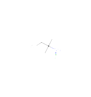 CC(=O)CC(C)(C)NF